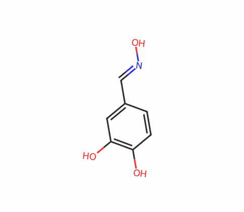 O/N=C/c1ccc(O)c(O)c1